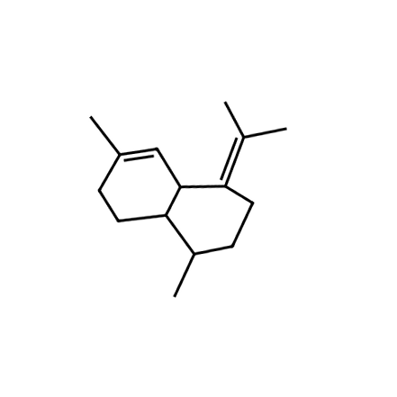 CC1=CC2C(=C(C)C)CCC(C)C2CC1